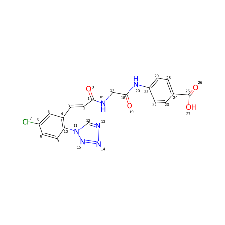 O=C(/C=C/c1cc(Cl)ccc1-n1cnnn1)NCC(=O)Nc1ccc(C(=O)O)cc1